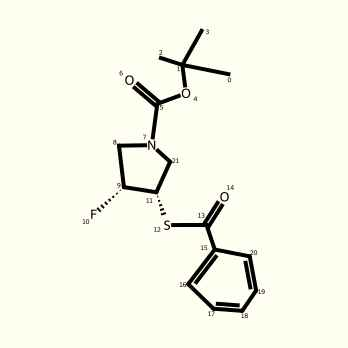 CC(C)(C)OC(=O)N1C[C@@H](F)[C@@H](SC(=O)c2ccccc2)C1